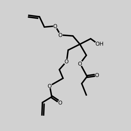 C=CCOOCC(CO)(COCCOC(=O)C=C)COC(=O)CC